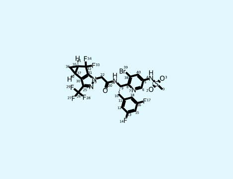 CS(=O)(=O)Nc1cnc([C@H](Cc2cc(F)cc(F)c2)NC(=O)Cn2nc(C(F)(F)F)c3c2C(F)(F)[C@@H]2C[C@H]32)c(Br)c1